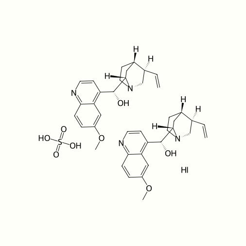 C=C[C@H]1C[N@]2CC[C@H]1C[C@H]2[C@H](O)c1ccnc2ccc(OC)cc12.C=C[C@H]1C[N@]2CC[C@H]1C[C@H]2[C@H](O)c1ccnc2ccc(OC)cc12.I.O=S(=O)(O)O